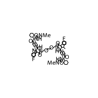 CN[C@@H](C)C(=O)NC(C(=O)N1CCN(C(=O)C2=C(C(=O)NCCOCCOCCNC(=O)c3c(C(=O)N4CCN(C(=O)C(NC(=O)[C@H](C)NC)C5CCCCC5)CC4)n(C)c4ccc(F)cc34)c3cc(F)ccc3C2C)CC1)C1CCCCC1